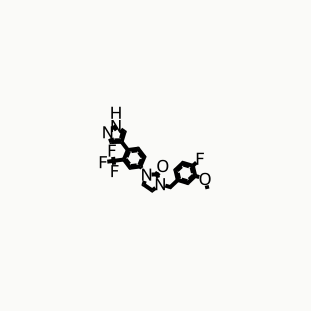 COc1cc(CN2CCN(c3ccc(-c4cn[nH]c4)c(C(F)(F)F)c3)C2=O)ccc1F